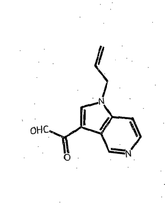 C=CCn1cc(C(=O)C=O)c2cnccc21